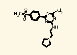 CS(=O)(=O)c1ccc(-c2nc(NCCN3CCCC3)nc(C(Cl)(Cl)Cl)n2)cc1